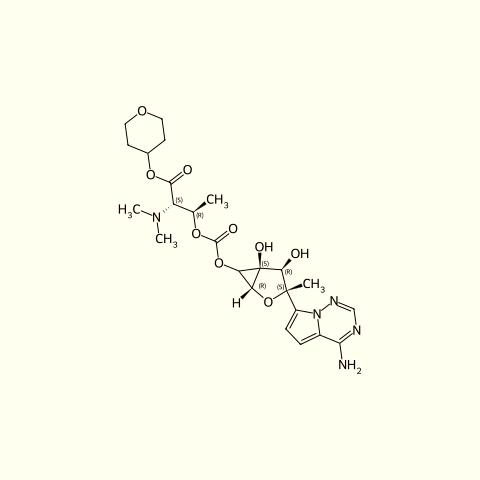 C[C@@H](OC(=O)OC1[C@H]2O[C@@](C)(c3ccc4c(N)ncnn34)[C@H](O)[C@@]12O)[C@@H](C(=O)OC1CCOCC1)N(C)C